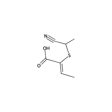 CC=C(SC(C)C#N)C(=O)O